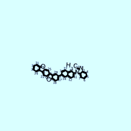 Cc1nc2ccccc2n1-c1ccc2cc(-c3ccc4oc5cc6c(cc5c4c3)oc3ccccc36)ccc2c1